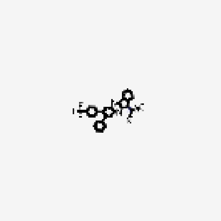 [C-]#[N+]/C(C#N)=C1\c2ccccc2-c2nc3cc(-c4ccc(C(F)(F)F)cc4)c(-c4ccccc4)cc3nc21